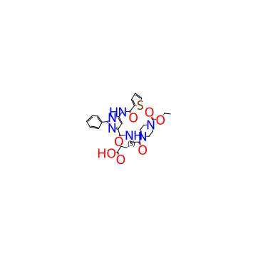 CCOC(=O)N1CCN(C(=O)[C@H](CCC(=O)O)NC(=O)c2cc(NC(=O)c3cccs3)nc(-c3ccccc3)n2)CC1